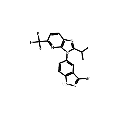 CC(C)c1nc2ccc(C(F)(F)F)nc2n1-c1ccc2[nH]nc(Br)c2c1